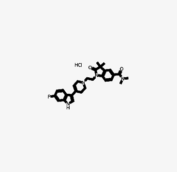 CN(C)C(=O)c1ccc2c(c1)C(C)(C)C(=O)N2CCN1CC=C(c2c[nH]c3cc(F)ccc23)CC1.Cl